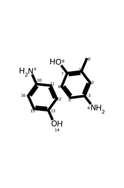 Cc1cc(N)ccc1O.Nc1ccc(O)cc1